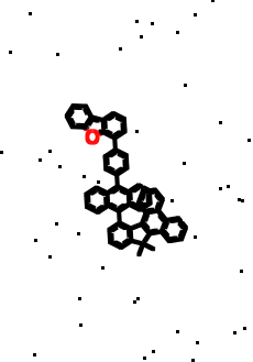 CC1(C)c2cccc(-c3c4ccccc4c(-c4ccc(-c5cccc6c5oc5ccccc56)cc4)c4ccccc34)c2-c2c1c1ccccc1c1ccccc21